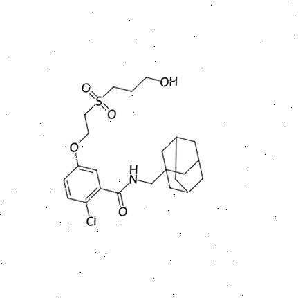 O=C(NCC12CC3CC(CC(C3)C1)C2)c1cc(OCCS(=O)(=O)CCCO)ccc1Cl